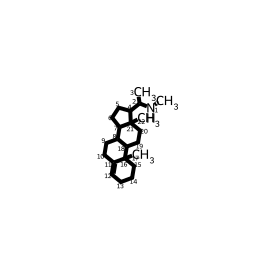 CNC(C)C1CCC2C3CCC4=CCCCC4(C)C3CCC12C